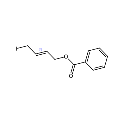 O=C(OC/C=C/CI)c1ccccc1